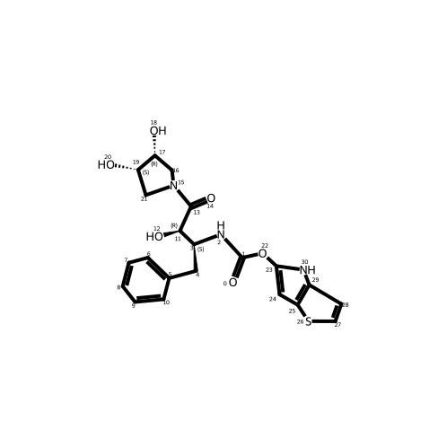 O=C(N[C@@H](Cc1ccccc1)[C@@H](O)C(=O)N1C[C@@H](O)[C@@H](O)C1)Oc1cc2sccc2[nH]1